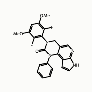 COc1cc(OC)c(F)c(N2Cc3cnc4[nH]ccc4c3N(c3ccccc3)C2=O)c1F